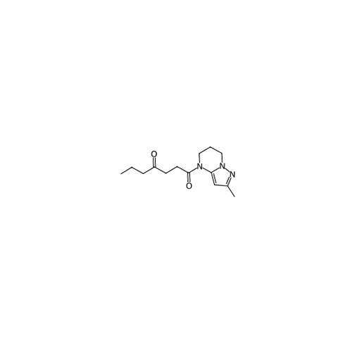 CCCC(=O)CCC(=O)N1CCCn2nc(C)cc21